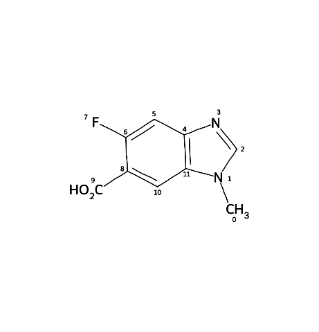 Cn1cnc2cc(F)c(C(=O)O)cc21